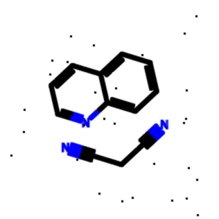 N#CCC#N.c1ccc2ncccc2c1